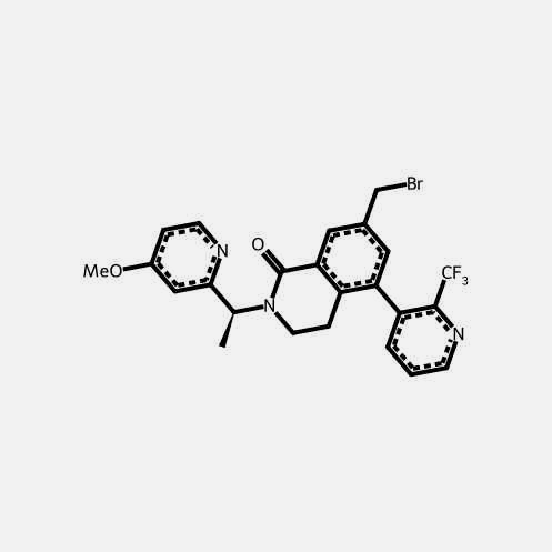 COc1ccnc([C@H](C)N2CCc3c(cc(CBr)cc3-c3cccnc3C(F)(F)F)C2=O)c1